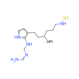 CCCC(CCCNS)CCc1cc[nH]c1NC/N=C\N